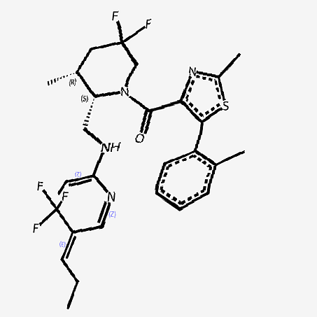 C\C=C(/N=C\C(=C/CC)C(F)(F)F)NC[C@@H]1[C@H](C)CC(F)(F)CN1C(=O)c1nc(C)sc1-c1ccccc1C